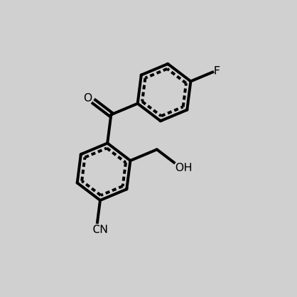 N#Cc1ccc(C(=O)c2ccc(F)cc2)c(CO)c1